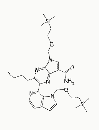 CCCCc1nc2c(nc1-c1nccc3ccn(COCC[Si](C)(C)C)c13)c(C(N)=O)cn2COCC[Si](C)(C)C